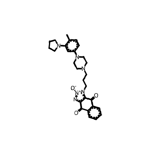 Cc1ccc(N2CCN(CCCn3c4c(n[n+]3[O-])C(=O)c3ccccc3C4=O)CC2)cc1N1CCCC1